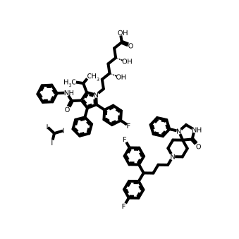 CC(C)c1c(C(=O)Nc2ccccc2)c(-c2ccccc2)c(-c2ccc(F)cc2)n1CC[C@@H](O)C[C@@H](O)CC(=O)O.IC(I)I.O=C1NCN(c2ccccc2)C12CCN(CCCC(c1ccc(F)cc1)c1ccc(F)cc1)CC2